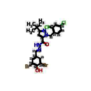 CC(C)(C)c1cc(C(=O)NN=Cc2cc(Br)c(O)c(Br)c2)n(Cc2ccc(Cl)cc2Cl)n1